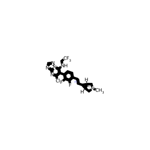 CN1C[C@@H]2C(/C=C/c3ccc(-c4c(Cl)nc5ncnn5c4NCC(F)(F)F)c(F)c3F)[C@@H]2C1